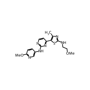 COCCNc1nc(C)c(-c2ccnc(Nc3ccc(OC)nc3)n2)s1